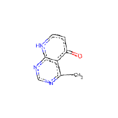 Cc1ncnc2[nH]ccc(=O)c12